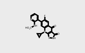 O=C(O)Nc1ncccc1-c1cc2c(cc1F)c(=O)c1c(=O)[nH]sc1n2C1CC1